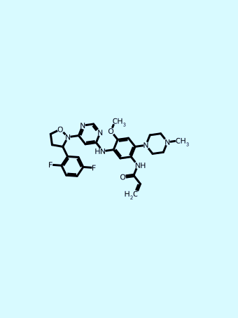 C=CC(=O)Nc1cc(Nc2cc(N3OCCC3c3cc(F)ccc3F)ncn2)c(OC)cc1N1CCN(C)CC1